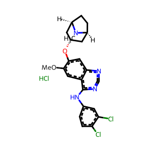 COc1cc2c(Nc3ccc(Cl)c(Cl)c3)ncnc2cc1O[C@@H]1C[C@H]2CC[C@@H](C1)N2C.Cl